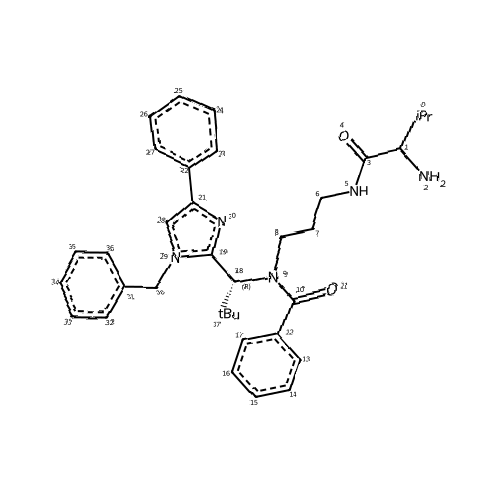 CC(C)C(N)C(=O)NCCCN(C(=O)c1ccccc1)[C@@H](c1nc(-c2ccccc2)cn1Cc1ccccc1)C(C)(C)C